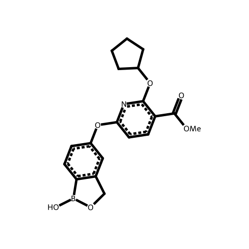 COC(=O)c1ccc(Oc2ccc3c(c2)COB3O)nc1OC1CCCC1